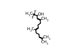 CC(C)=CCCC(C)=CCCC(C)=CC(O)C(C)(F)F